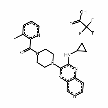 O=C(O)C(F)(F)F.O=C(c1ncccc1F)N1CCN(c2nc3cnccc3nc2NC2CC2)CC1